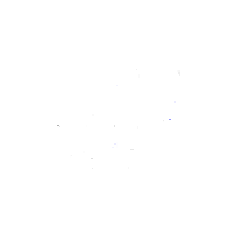 Cc1nnc2sc(C(=O)N3CCCCC3c3ccccc3)c(N)c2c1C